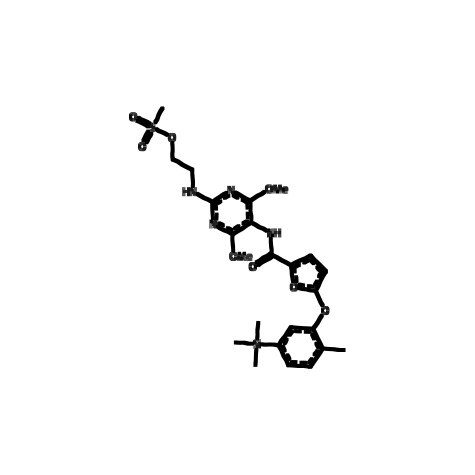 COc1nc(NCCOS(C)(=O)=O)nc(OC)c1NC(=O)c1ccc(Oc2cc([Si](C)(C)C)ccc2C)o1